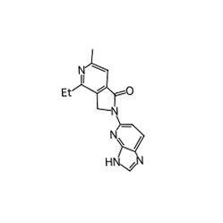 CCc1nc(C)cc2c1CN(c1ccc3nc[nH]c3n1)C2=O